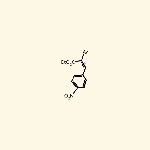 CCOC(=O)/C(=C\c1ccc([N+](=O)[O-])cc1)C(C)=O